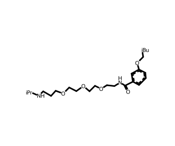 CCC(C)COc1cccc(C(=O)NCCOCCOCCOCCCNC(C)C)c1